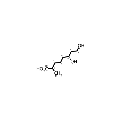 CC(CCC[C@@H](O)CCO)C(=O)O